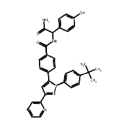 CC(C)(C)c1ccc(-n2nc(-c3ccccn3)cc2-c2ccc(C(=O)NC(C(N)=O)c3ccc(O)cc3)cc2)cc1